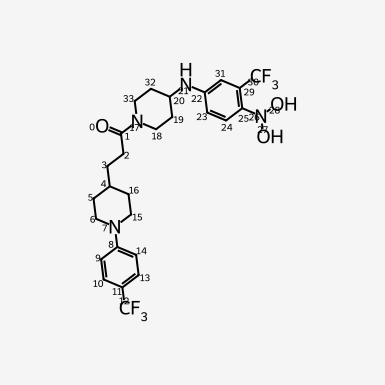 O=C(CCC1CCN(c2ccc(C(F)(F)F)cc2)CC1)N1CCC(Nc2ccc(N(O)O)c(C(F)(F)F)c2)CC1